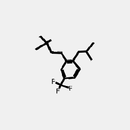 CC(C)Cc1ccc(C(F)(F)F)cc1CCC(C)(C)C